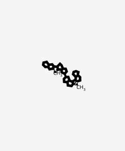 Cn1c2ccc3ccccc3c2c2c3cc(-c4ccc5ccc6c7cc8ccccc8cc7n(C)c6c5c4)ccc3ccc21